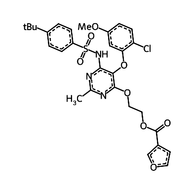 COc1ccc(Cl)c(Oc2c(NS(=O)(=O)c3ccc(C(C)(C)C)cc3)nc(C)nc2OCCOC(=O)c2ccoc2)c1